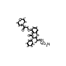 CC(NC(=O)O)c1nc2cccc(OCC(=O)N3CCOCC3)c2c(=O)n1-c1ccccc1